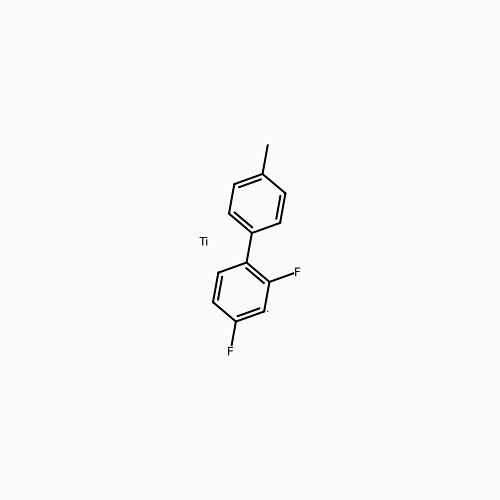 Cc1ccc(-c2ccc(F)[c]c2F)cc1.[Ti]